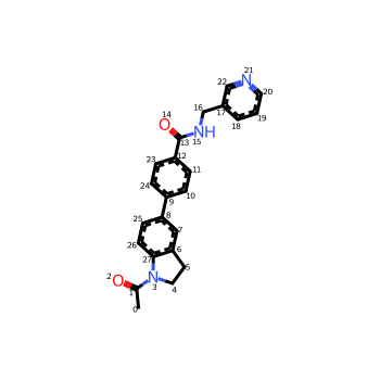 CC(=O)N1CCc2cc(-c3ccc(C(=O)NCc4cccnc4)cc3)ccc21